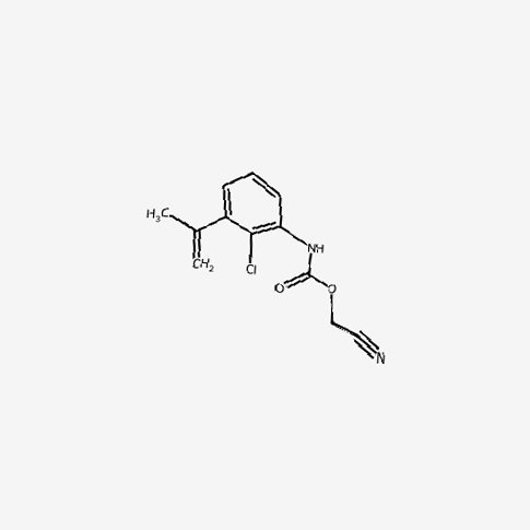 C=C(C)c1cccc(NC(=O)OCC#N)c1Cl